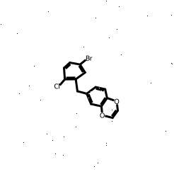 Clc1ccc(Br)cc1Cc1ccc2c(c1)OC=CO2